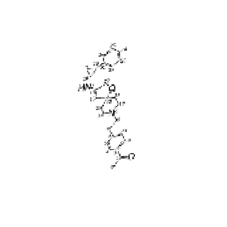 CC(=O)c1ccc(CCN2CCC3(CC2)CC(N[C@@H]2C[C@H]2c2ccccc2)CO3)cc1